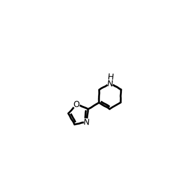 C1=C(c2ncco2)CNCC1